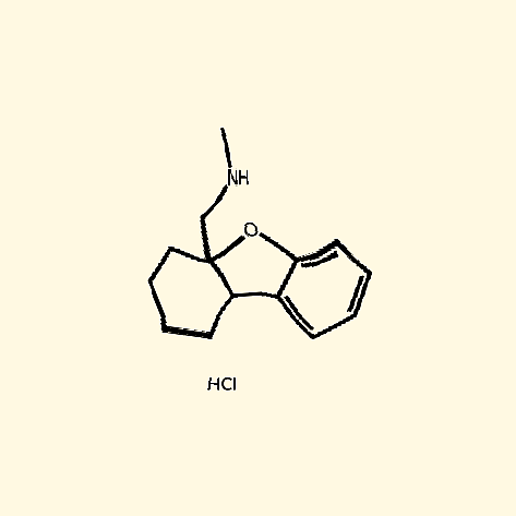 CNCC12CCCCC1c1ccccc1O2.Cl